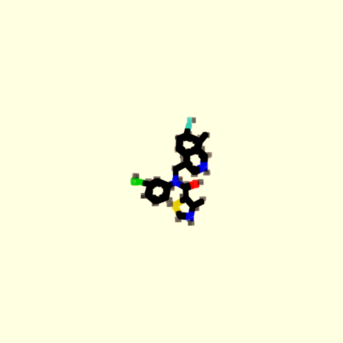 Cc1c(F)ccc2c(CN(C(=O)C3SC=NC3C)c3cccc(Cl)c3)cncc12